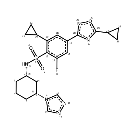 O=S(=O)(N[C@H]1CCC[C@@H](n2cnnc2)C1)c1c(F)cc(-c2noc(C3CC3)n2)cc1C1CC1